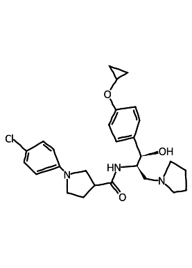 O=C(N[C@H](CN1CCCC1)[C@H](O)c1ccc(OC2CC2)cc1)C1CCN(c2ccc(Cl)cc2)C1